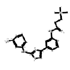 C[N+](C)(C)CCC(=O)Nc1cccc(-c2csc(Nc3cccc(C(F)(F)F)c3)n2)c1